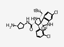 CC(C)(C)C[C@H]1N[C@@H](C(=O)N[C@H]2CC[C@@H](N)C2)[C@H](c2cccc(Cl)c2F)[C@@]12C(=O)Nc1cc(Cl)ccc12